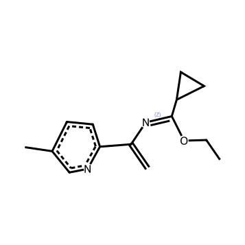 C=C(/N=C(\OCC)C1CC1)c1ccc(C)cn1